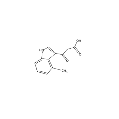 Cc1cccc2[nH]cc(C(=O)CC(=O)O)c12